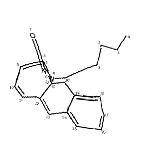 CCCCN1C[N+](=O)C2=CC=CC3=Cc4ccccc4CC32C1